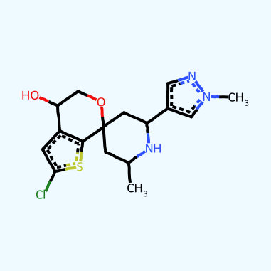 CC1CC2(CC(c3cnn(C)c3)N1)OCC(O)c1cc(Cl)sc12